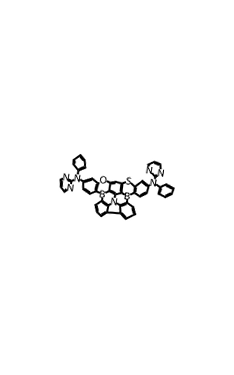 c1ccc(N(c2ccc3c(c2)Oc2cc4c5c6c2B3c2cccc3c7cccc(c7n-6c23)B5c2ccc(N(c3ccccc3)c3ncccn3)cc2S4)c2ncccn2)cc1